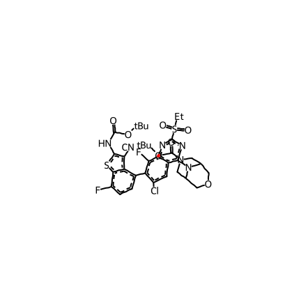 CCS(=O)(=O)c1nc(N2C3COCC2CN(C(=O)OC(C)(C)C)C3)c2cc(Cl)c(-c3ccc(F)c4sc(NC(=O)OC(C)(C)C)c(C#N)c34)c(F)c2n1